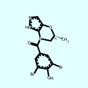 C[C@@H]1CN(C(=O)c2cc(Br)c(O)c(Br)c2)c2[nH]ncc2O1